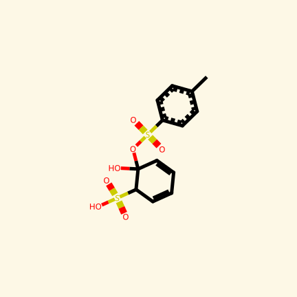 Cc1ccc(S(=O)(=O)OC2(O)C=CC=CC2S(=O)(=O)O)cc1